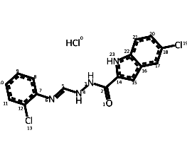 Cl.O=C(NNC=Nc1ccccc1Cl)c1cc2cc(Cl)ccc2[nH]1